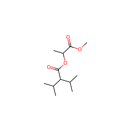 COC(=O)C(C)OC(=O)C(C(C)C)C(C)C